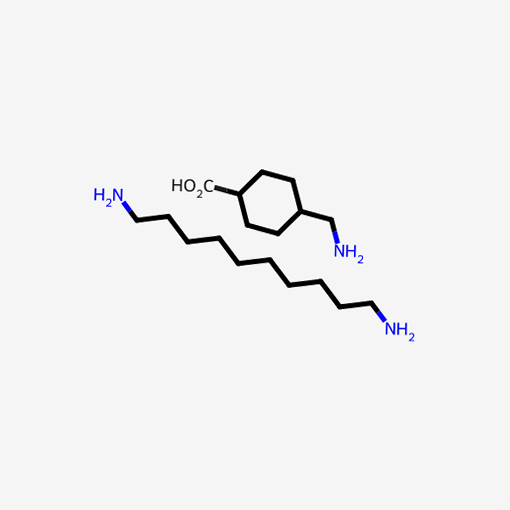 NCC1CCC(C(=O)O)CC1.NCCCCCCCCCCN